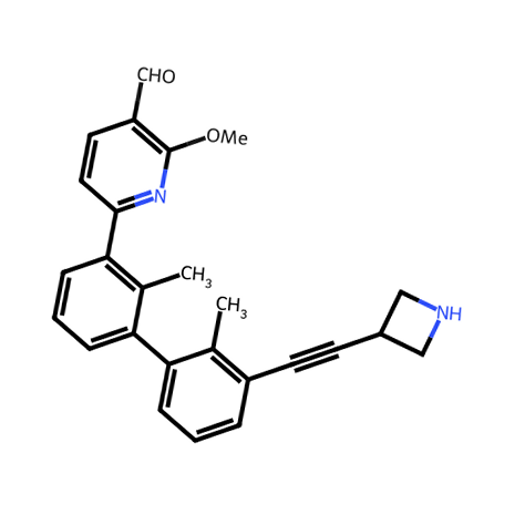 COc1nc(-c2cccc(-c3cccc(C#CC4CNC4)c3C)c2C)ccc1C=O